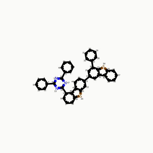 c1ccc(-c2nc(-c3ccccc3)nc(-c3cccc4sc5cc(-c6cc(-c7ccccc7)c7sc8ccccc8c7c6)ccc5c34)n2)cc1